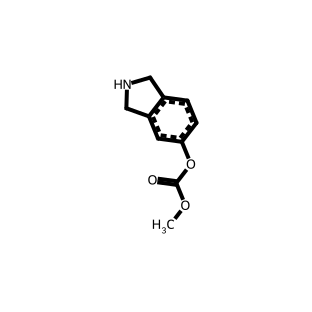 COC(=O)Oc1ccc2c(c1)CNC2